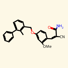 COc1cc(OCc2cccc(-c3ccccc3)c2C)ccc1C=C(C#N)C(N)=O